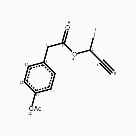 C#CC(I)OC(=O)Cc1ccc(OC(C)=O)cc1